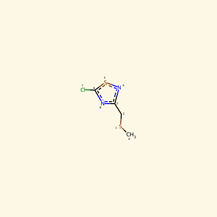 CSCc1nsc(Cl)n1